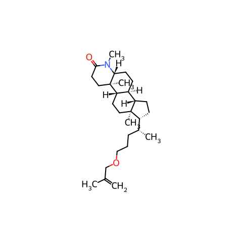 C=C(C)COCCC[C@@H](C)[C@H]1CC[C@H]2[C@@H]3CC[C@H]4N(C)C(=O)CC[C@]4(C)[C@H]3CC[C@]12C